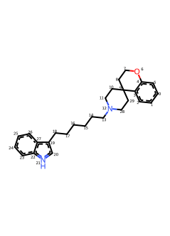 c1ccc2c(c1)OCCC21CCN(CCCCCCc2c[nH]c3ccccc23)CC1